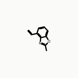 C=Cc1cccc2oc(C)nc12